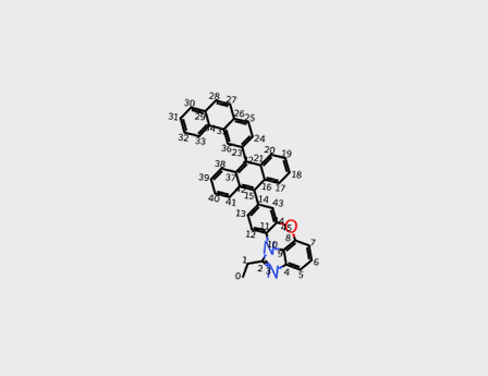 CCc1nc2cccc3c2n1-c1ccc(-c2c4ccccc4c(-c4ccc5ccc6ccccc6c5c4)c4ccccc24)cc1O3